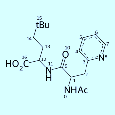 CC(=O)NC(Cc1ccccn1)C(=O)NC(CCC(C)(C)C)C(=O)O